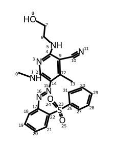 CNc1nc(NCCO)c(C#N)c(C)c1N=Nc1ccccc1S(=O)(=O)c1ccccc1